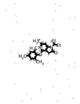 CCC(CC)N1C(=O)Cc2c1cc(C)nc2Oc1c(C)cc(C)cc1C